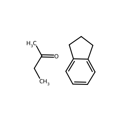 CCC(C)=O.c1ccc2c(c1)CCC2